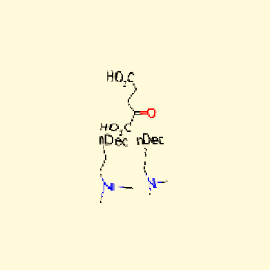 CCCCCCCCCCCCN(C)C.CCCCCCCCCCCCN(C)C.O=C(O)CCC(=O)C(=O)O